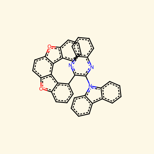 c1ccc2nc(-n3c4ccccc4c4ccccc43)c(-c3cccc4oc5ccc6oc7ccccc7c6c5c34)nc2c1